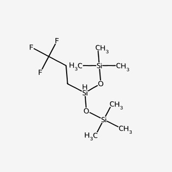 C[Si](C)(C)O[SiH](CCC(F)(F)F)O[Si](C)(C)C